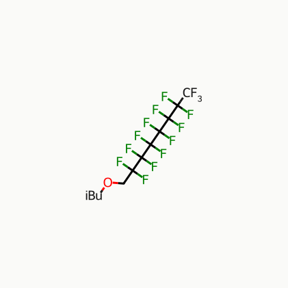 CCC(C)OCC(F)(F)C(F)(F)C(F)(F)C(F)(F)C(F)(F)C(F)(F)C(F)(F)F